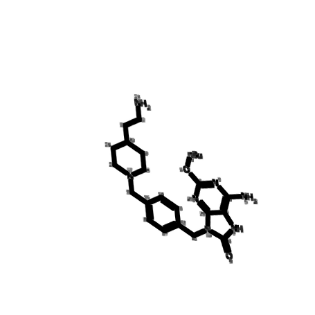 CCCCOc1nc(N)c2[nH]c(=O)n(Cc3ccc(CN4CCC(CCN)CC4)cc3)c2n1